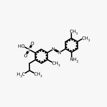 Cc1cc(N)c(/N=N/c2cc(S(=O)(=O)O)c(CC(C)C)cc2C)cc1C